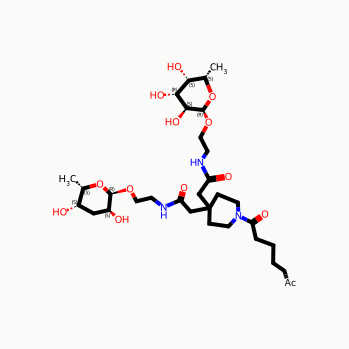 CC(=O)CCCCC(=O)N1CCC(CC(=O)NCCO[C@@H]2O[C@@H](C)[C@@H](O)[C@@H](O)[C@@H]2O)(CC(=O)NCCO[C@@H]2O[C@@H](C)[C@@H](O)C[C@@H]2O)CC1